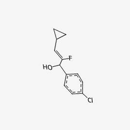 OC(C(F)=CC1CC1)c1ccc(Cl)cc1